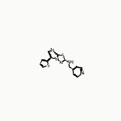 c1csc(-c2cnc3sc(NCc4ccncc4)nn23)c1